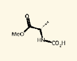 COC(=O)[C@H](C)NC(=O)O